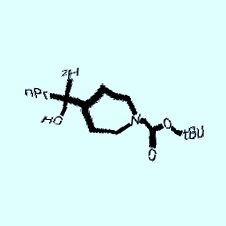 [2H]C(O)(CCC)C1CCN(C(=O)OC(C)(C)C)CC1